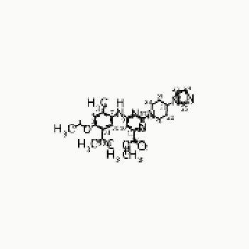 CCOc1cc(C)c(Nc2cc(C(=O)OC)nc(N3CCC(n4ccnc4)CC3)n2)cc1C(C)C